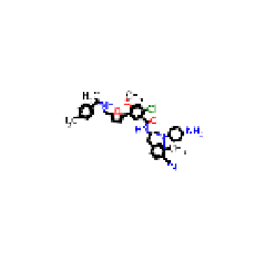 COc1cc(Cl)c(C(=O)N[C@@H](CN[C@H]2CC[C@@H](N)CC2)Cc2ccc(C#N)c(C)c2)cc1-c1ccc(CN[C@H](C)c2ccc(C)cc2)o1